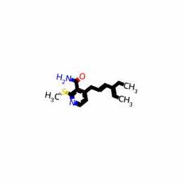 CC=C(C=CCc1ccnc(SC)c1C(N)=O)CC